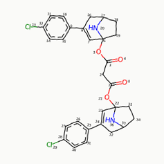 O=C(CC(=O)OC12C=C(c3ccc(Cl)cc3)CC(CC1)N2)OC12C=C(c3ccc(Cl)cc3)CC(CC1)N2